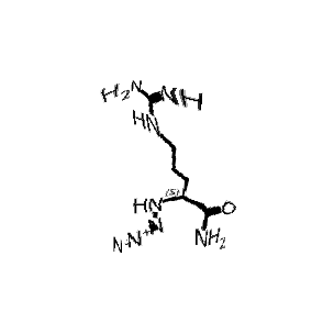 [N-]=[N+]=NN[C@@H](CCCNC(=N)N)C(N)=O